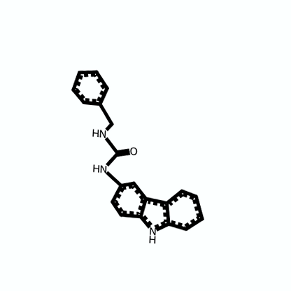 O=C(NCc1ccccc1)Nc1ccc2[nH]c3ccccc3c2c1